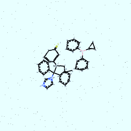 CCC[SiH](C1=CC(=S)CC=C1)C(c1ccccc1)(c1ccccc1)n1ccnc1.c1ccc(B(c2ccccc2)C2CC2)cc1